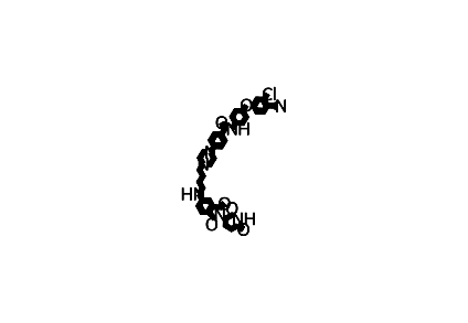 N#Cc1ccc(OC2CCC(NC(=O)c3ccc(N4CCN(CCCCNc5ccc6c(c5)C(=O)N(C5CCC(=O)NC5=O)C6=O)CC4)cc3)CC2)cc1Cl